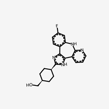 OC[C@H]1CC[C@@H](c2nc3c([nH]2)-c2cccnc2Nc2cc(F)ccc2-3)CC1